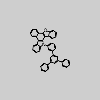 c1ccc(-c2cc(-c3ccccc3)cc(-c3cccc(-n4c5ccccc5c5c6ccccc6c6oc7ccccc7c6c54)c3)c2)cc1